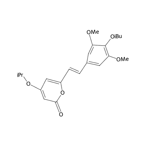 COc1cc(/C=C/c2cc(OC(C)C)cc(=O)o2)cc(OC)c1OCC(C)C